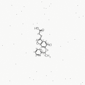 C[C@H](Oc1cc2onc(CCC(=O)O)c2cc1Cl)c1ncccn1